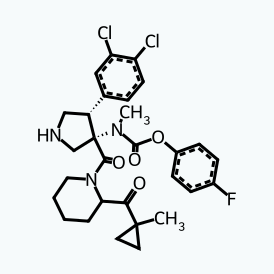 CN(C(=O)Oc1ccc(F)cc1)[C@]1(C(=O)N2CCCCC2C(=O)C2(C)CC2)CNC[C@@H]1c1ccc(Cl)c(Cl)c1